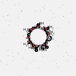 CC(C)C[C@@H]1NC(=O)C2CCCCCCCCC(NC(=O)[C@H](Cc3cn(CC(=O)O)c4ccccc34)NC(=O)[C@H](CCN)NC(=O)[C@H](Cc3c[nH]c4ccccc34)NC(=O)[C@@H]3C[C@@H](O)CN3C(=O)[C@H](CC(C)C)NC(=O)CNC(=O)[C@H]3CCCN3C(=O)[C@@H](CC(N)=O)NC(=O)[C@@H]3CCCN3C(=O)[C@H](Cc3ccc(O)cc3)NC(=O)CSC[C@@H](C(=O)NCC(N)=O)N(C)C1=O)C(=O)N2C